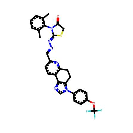 Cc1cccc(C)c1N1C(=O)CSC1=NN=Cc1ccc2c(n1)CCc1c-2ncn1-c1ccc(OC(F)(F)F)cc1